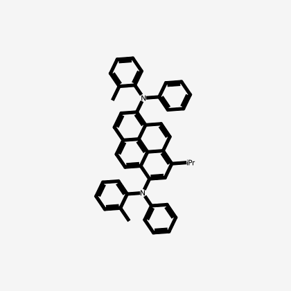 Cc1ccccc1N(c1ccccc1)c1ccc2ccc3c(N(c4ccccc4)c4ccccc4C)cc(C(C)C)c4ccc1c2c43